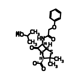 CC(C)O.CC1(C)S[C@@H]2[C@H](NC(=O)COc3ccccc3)C(=O)N2[C@H]1C(=O)[O-].[K+]